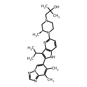 Cc1c(-c2[nH]c3ccc(N4CCN(CC(C)(C)O)C[C@@H]4C)nc3c2C(C)C)cn2ncnc2c1C